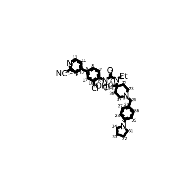 CCN(C(=O)N(C)c1ccc(-c2ccnc(C#N)c2)cc1Cl)C1(C=O)CCN(Cc2ccc(N3CCCC3)cc2)CC1